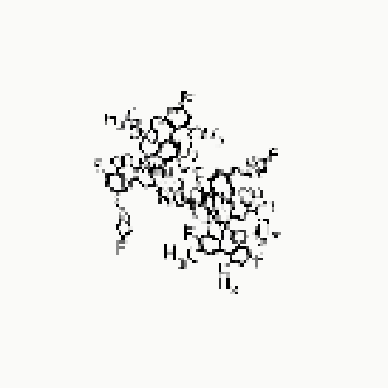 CCOC(=O)C[C@H](NC(=O)C(CC(C)C)n1cc(CCN2CC(F)C2)cc(F)c1=O)c1cc(-c2c(C)cc(F)cc2C)cc(C)c1F.Cc1cc(-c2c(C)cc(F)cc2C)cc([C@H](CC(=O)O)NC(=O)C(CC(C)C)n2cc(CCN3CC(F)C3)cc(F)c2=O)c1F